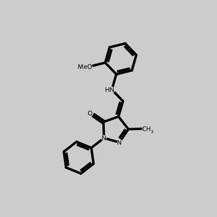 COc1ccccc1N/C=C1\C(=O)N(c2ccccc2)N=C1C